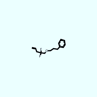 C=CCC(F)(F)COCCCc1ccccc1